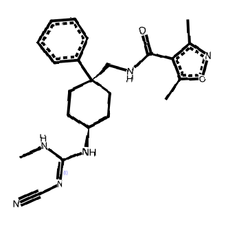 CN/C(=N\C#N)N[C@H]1CC[C@](CNC(=O)c2c(C)noc2C)(c2ccccc2)CC1